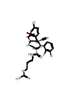 CC(C)(C)C[C@@H]1N[C@@H](C(=O)NCCCNC(N)=O)[C@H](c2cccc(Cl)c2F)[C@@]1(C#N)c1ccc(Cl)cc1F